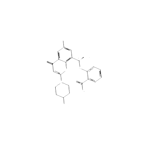 Cc1cc([C@@H](C)Nc2ccccc2C(=O)O)c2oc(N3CCC(C)CC3)cc(=O)c2c1